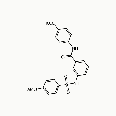 COc1ccc(S(=O)(=O)Nc2cccc(C(=O)Nc3ccc(C(=O)O)cc3)c2)cc1